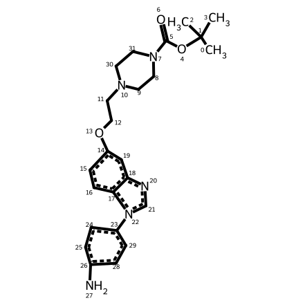 CC(C)(C)OC(=O)N1CCN(CCOc2ccc3c(c2)ncn3-c2ccc(N)cc2)CC1